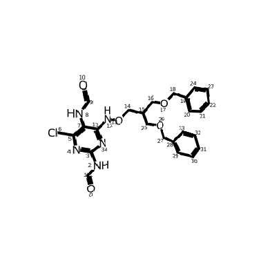 O=CNc1nc(Cl)c(NC=O)c(NOCC(COCc2ccccc2)COCc2ccccc2)n1